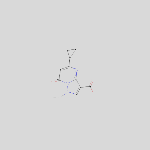 Cn1cc(C(=O)O)c2nc(C3CC3)cc(=O)n21